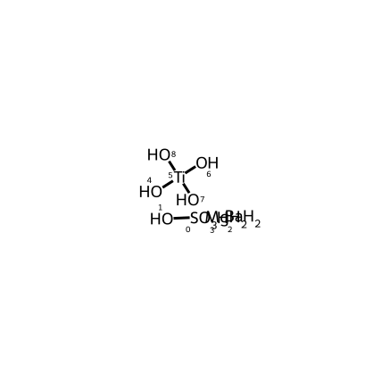 O=S(=O)(O)O.[BaH2].[MgH2].[OH][Ti]([OH])([OH])[OH]